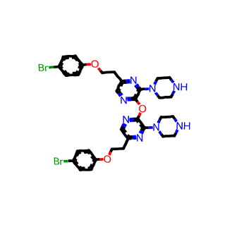 Brc1ccc(OCCc2cnc(Oc3ncc(CCOc4ccc(Br)cc4)nc3N3CCNCC3)c(N3CCNCC3)n2)cc1